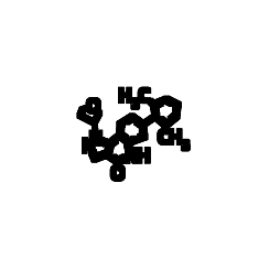 Cc1cccc(C)c1-c1ccc2c(c1)[nH]c(=O)c1cnn([C@H]3CCOC3)c12